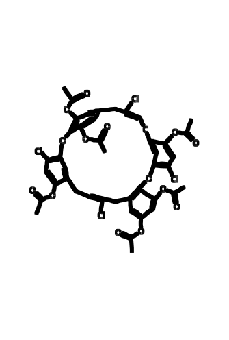 CC(=O)Oc1cc2c(c(OC(C)=O)c1)Oc1cc(c(OC(C)=O)cc1Cl)C/C=C(/Cl)Cc1cc(OC(C)=O)c(c(OC(C)=O)c1)Oc1cc(c(OC(C)=O)cc1Cl)C/C=C(/Cl)C2